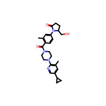 Cc1cc(N2C(=O)CCC2CO)ccc1C(=O)N1CCN(c2ncc(C3CC3)cc2C)CC1